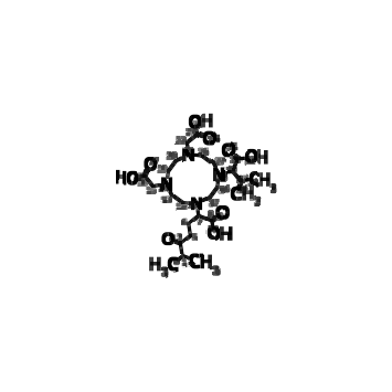 CC(C)C(=O)CCC(C(=O)O)N1CCN(CC(=O)O)CCN(CC(=O)O)CCN(C(C(=O)O)C(C)C)CC1